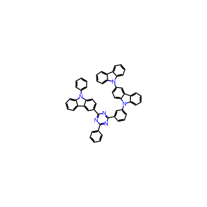 c1ccc(-c2nc(-c3cccc(-n4c5ccccc5c5cc(-n6c7ccccc7c7ccccc76)ccc54)c3)nc(-c3ccc4c(c3)c3ccccc3n4-c3ccccc3)n2)cc1